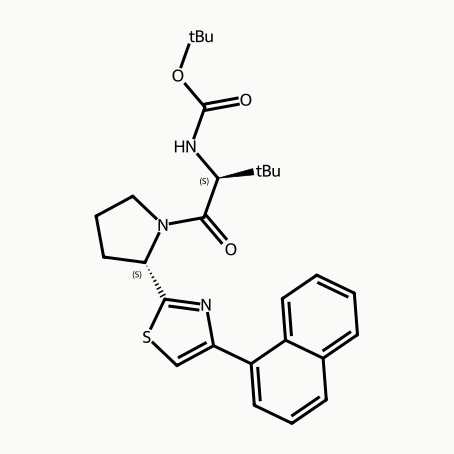 CC(C)(C)OC(=O)N[C@H](C(=O)N1CCC[C@H]1c1nc(-c2cccc3ccccc23)cs1)C(C)(C)C